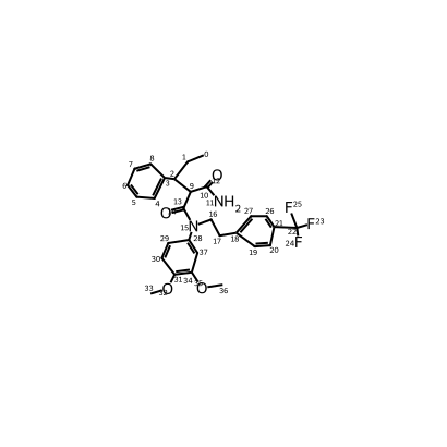 CCC(c1ccccc1)C(C(N)=O)C(=O)N(CCc1ccc(C(F)(F)F)cc1)c1ccc(OC)c(OC)c1